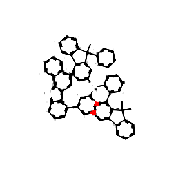 CC1(C)c2ccccc2-c2cccc(-c3ccccc3N(c3cccc(-c4cccc5oc6c7ccccc7ccc6c45)c3)c3ccc4c(c3)C(C)(c3ccccc3)c3ccccc3-4)c21